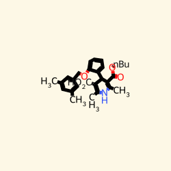 CCCCOC(=O)C1=C(C)NC(C)=C(C(=O)O)C1c1ccccc1OCc1cc(C)cc(C)c1